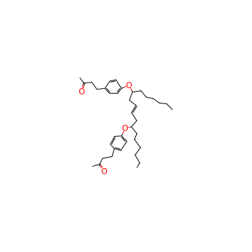 CCCCCCC(CC=CCC(CCCCCC)Oc1ccc(CCC(C)=O)cc1)Oc1ccc(CCC(C)=O)cc1